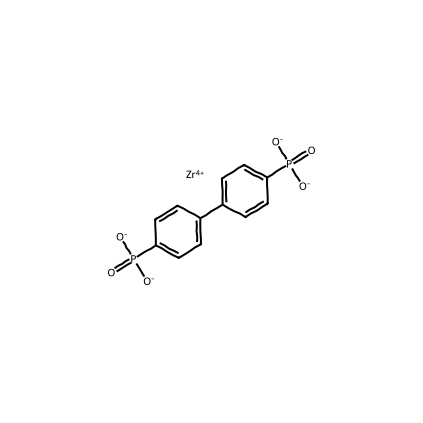 O=P([O-])([O-])c1ccc(-c2ccc(P(=O)([O-])[O-])cc2)cc1.[Zr+4]